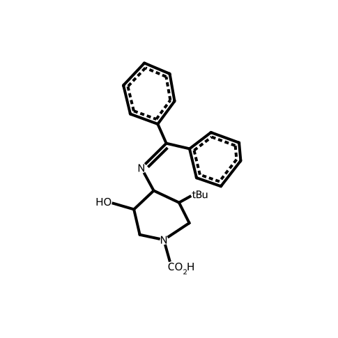 CC(C)(C)C1CN(C(=O)O)CC(O)C1N=C(c1ccccc1)c1ccccc1